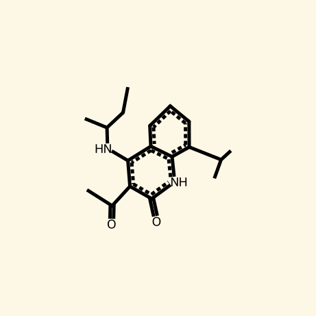 CCC(C)Nc1c(C(C)=O)c(=O)[nH]c2c(C(C)C)cccc12